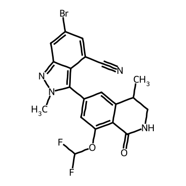 CC1CNC(=O)c2c(OC(F)F)cc(-c3c4c(C#N)cc(Br)cc4nn3C)cc21